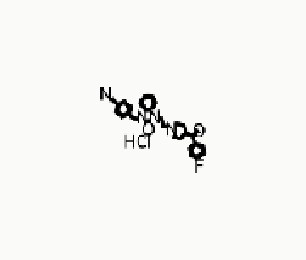 Cl.N#Cc1ccc(Cn2c(=O)n(CCN3CCC(C(=O)c4ccc(F)cc4)CC3)c3ccccc32)cc1